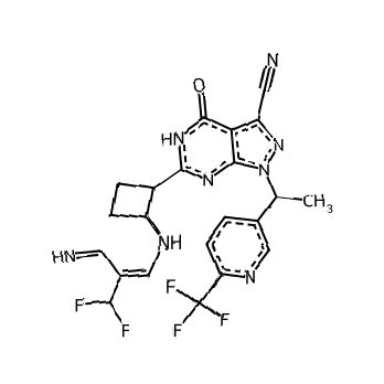 CC(c1ccc(C(F)(F)F)nc1)n1nc(C#N)c2c(=O)[nH]c(C3CCC3N/C=C(\C=N)C(F)F)nc21